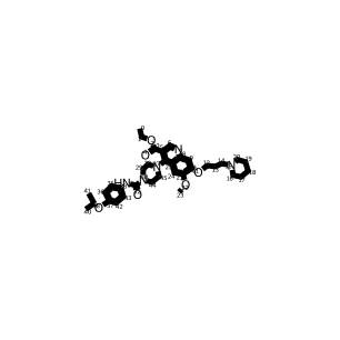 CCOC(=O)c1cnc2cc(OCCCN3CCCCC3)c(OC)cc2c1N1CCN(C(=O)Nc2ccc(OC(C)C)cc2)CC1